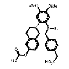 CCN(Cc1ccc(CC(=O)O)cc1)c1cc(OC)c(OC)cc1[C@H]1CCc2cc(OC(=O)C(C)(C)C)ccc2C1